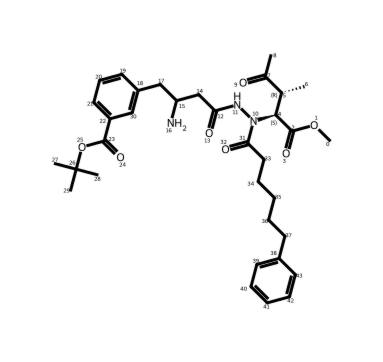 COC(=O)[C@H]([C@@H](C)C(C)=O)N(NC(=O)CC(N)Cc1cccc(C(=O)OC(C)(C)C)c1)C(=O)CCCCCc1ccccc1